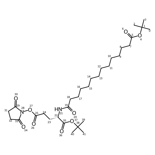 CC(C)(C)OC(=O)CCCCCCCCCCCCC(=O)N[C@@H](CCC(=O)ON1C(=O)CCC1=O)C(=O)OC(C)(C)C